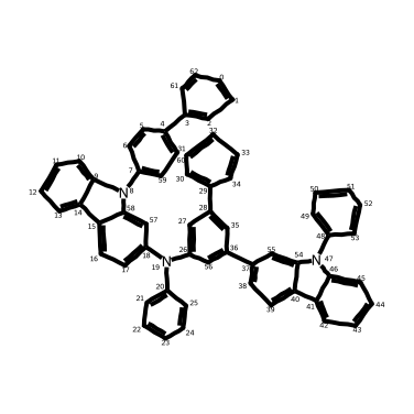 c1ccc(-c2ccc(-n3c4ccccc4c4ccc(N(c5ccccc5)c5cc(-c6ccccc6)cc(-c6ccc7c8ccccc8n(-c8ccccc8)c7c6)c5)cc43)cc2)cc1